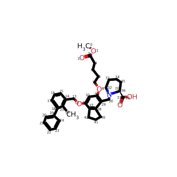 COC(=O)CCCCOc1cc(OCc2cccc(-c3ccccc3)c2C)c2c(c1CN1CCCC[C@H]1C(=O)O)CCC2